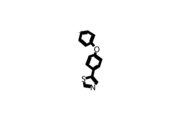 [c]1ccc(Oc2ccc(-c3cncs3)cc2)cc1